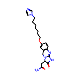 NC(=O)CC1C(=O)NC2=Nc3ccc(OCCCCCCCn4ccnc4)cc3CN21